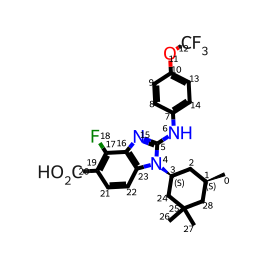 C[C@@H]1C[C@H](n2c(Nc3ccc(OC(F)(F)F)cc3)nc3c(F)c(C(=O)O)ccc32)CC(C)(C)C1